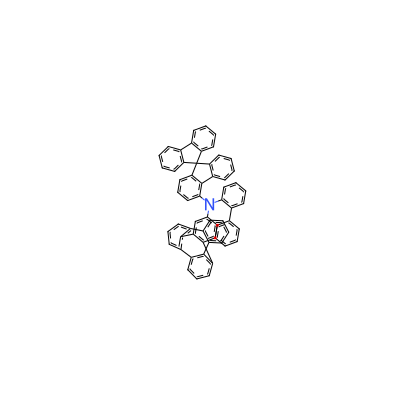 c1ccc(-c2ccccc2N(c2ccc3c(c2)-c2c4cccc2-c2cccc-3c2-c2ccccc2-4)c2cccc3c2-c2ccccc2C32c3ccccc3-c3ccccc32)cc1